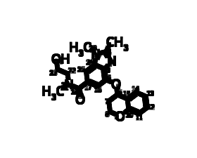 Cc1nc2c(OC3CCOc4ccccc43)cc(C(=O)N(C)CCO)cc2n1C